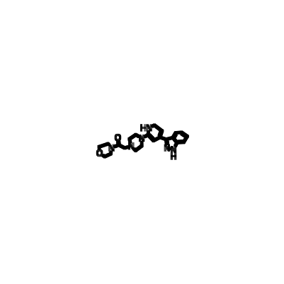 O=C(CN1CCN(C2=CC(c3n[nH]c4ccccc34)=CCN2)CC1)N1CCOCC1